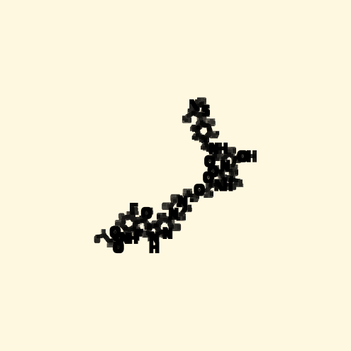 CCCS(=O)(=O)Nc1ccc(F)c(C(=O)c2c[nH]c3ncc(N4CCN(CCOCC(=O)N[C@H](C(=O)N5C[C@H](O)C[C@H]5C(=O)NCc5ccc(-c6scnc6C)cc5)C(C)(C)C)CC4)cc23)c1F